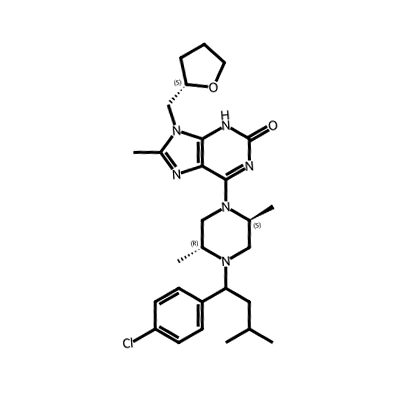 Cc1nc2c(N3C[C@@H](C)N(C(CC(C)C)c4ccc(Cl)cc4)C[C@@H]3C)nc(=O)[nH]c2n1C[C@@H]1CCCO1